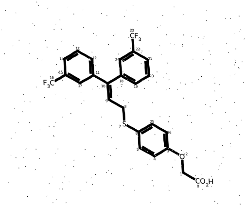 O=C(O)COc1ccc(SCC=C(c2cccc(C(F)(F)F)c2)c2cccc(C(F)(F)F)c2)cc1